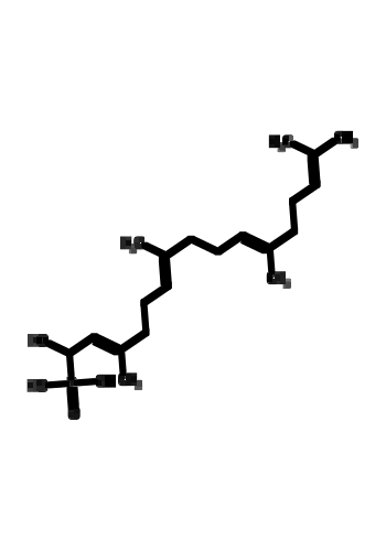 CC(C)=CCCC(C)=CCCC(C)=CCCC(C)=CC(O)P(=O)(O)O